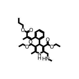 CCCOC(=O)C(C)=Cc1ccccc1C1C(C(=O)OCC)=C(C)NC(CNC)=C1C(=O)OCC